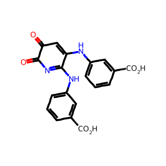 O=C1C=C(Nc2cccc(C(=O)O)c2)C(Nc2cccc(C(=O)O)c2)=NC1=O